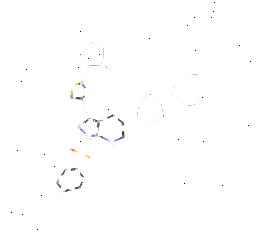 CN1CCCC1c1nc(-c2cn(S(=O)(=O)c3ccccc3)c3ncc([C@H]4CC[C@@H](N5CCCOCC5)CC4)cc23)cs1